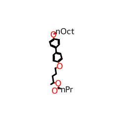 CCCCCCCCOc1ccc(-c2ccc(OCCCC(C)OC(=O)CCC)cc2)cc1